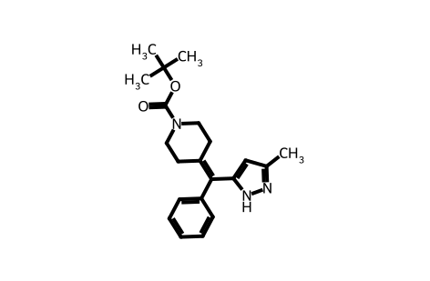 Cc1cc(C(=C2CCN(C(=O)OC(C)(C)C)CC2)c2ccccc2)[nH]n1